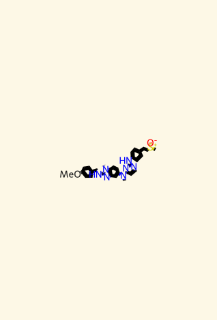 COc1ccc(CNc2nc3cc(N(C)c4ccnc(Nc5ccc(CC[S+](C)[O-])cc5)n4)ccc3n2C)cc1